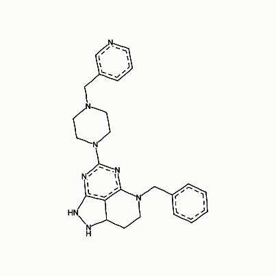 c1ccc(CN2CCC3NNc4nc(N5CCN(Cc6cccnc6)CC5)nc2c43)cc1